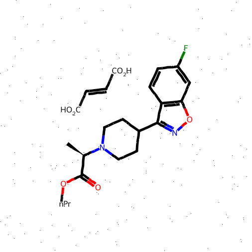 CCCOC(=O)[C@@H](C)N1CCC(c2noc3cc(F)ccc23)CC1.O=C(O)/C=C/C(=O)O